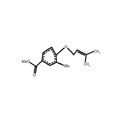 COC(=O)c1ccc(OCC=C(C)C)c(C(C)(C)C)c1